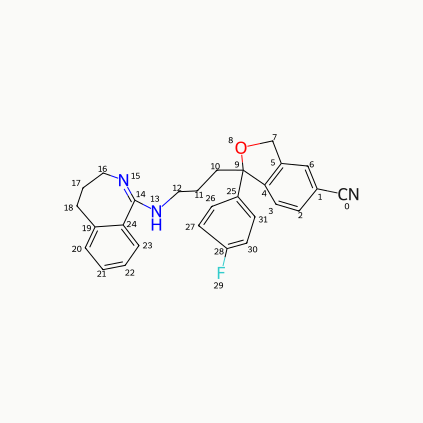 N#Cc1ccc2c(c1)COC2(CCCNC1=NCCCc2ccccc21)c1ccc(F)cc1